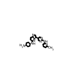 Cc1cccc(Nc2ncc(-c3cnc4ccc(N[C@H]5CC[C@H](N)CC5)nn34)cn2)n1